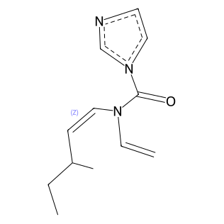 C=CN(/C=C\C(C)CC)C(=O)n1ccnc1